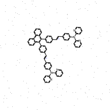 C(=C\c1ccc(N(c2ccccn2)c2ccccn2)cc1)/c1ccc(-c2c(-c3ccc(/C=C/c4ccc(N(c5ccccn5)c5ccccn5)cc4)cc3)c3ccccc3c3ccccc23)cc1